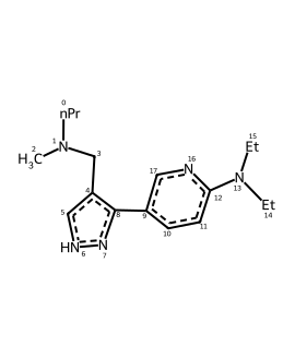 CCCN(C)Cc1c[nH]nc1-c1ccc(N(CC)CC)nc1